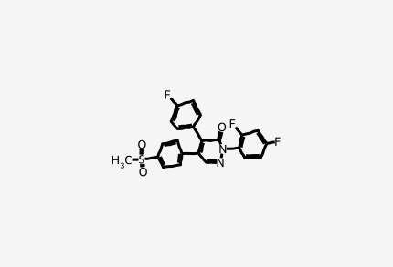 CS(=O)(=O)c1ccc(-c2cnn(-c3ccc(F)cc3F)c(=O)c2-c2ccc(F)cc2)cc1